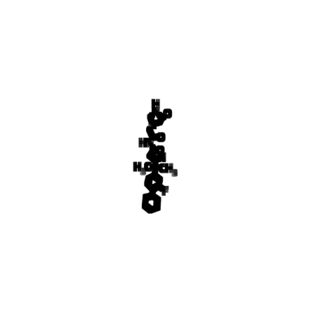 CC(C)(c1ccc(-c2ccccc2)c(F)c1)c1cc(NC(=O)CN2CNC(=O)C2)on1